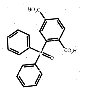 O=C(O)c1ccc(C(=O)O)c(P(=O)(c2ccccc2)c2ccccc2)c1